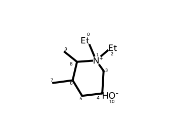 CC[N+]1(CC)CCCC(C)C1C.[OH-]